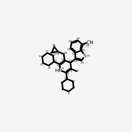 CC1=C(C2CCCCC2)NC(C2CCCCC2)=C(CC2CC2)C1c1csc2c(C#N)cccc12